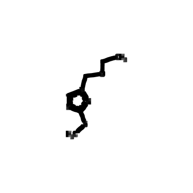 CCOCn1[c]nc(SC)n1